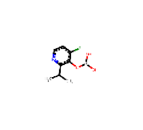 CC(C)c1nccc(F)c1OB(O)O